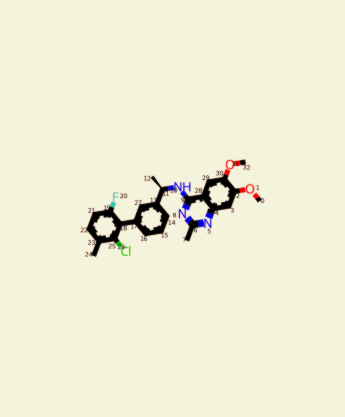 COc1cc2nc(C)nc(N[C@H](C)c3cccc(-c4c(F)ccc(C)c4Cl)c3)c2cc1OC